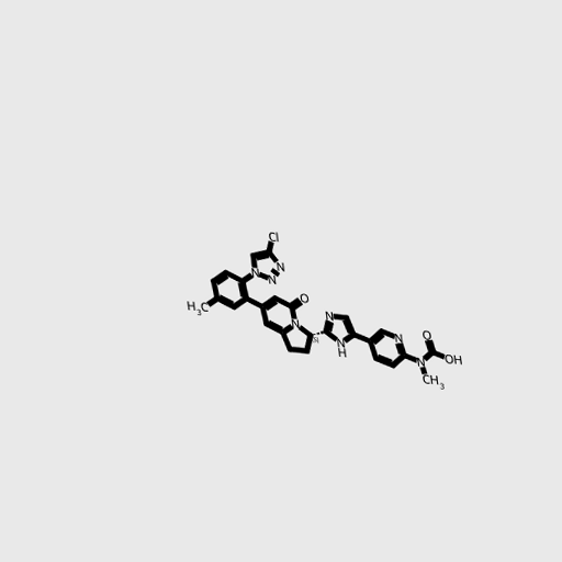 Cc1ccc(-n2cc(Cl)nn2)c(-c2cc3n(c(=O)c2)[C@H](c2ncc(-c4ccc(N(C)C(=O)O)nc4)[nH]2)CC3)c1